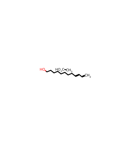 C=CC=CCCCCCCCCO.CC(=O)O